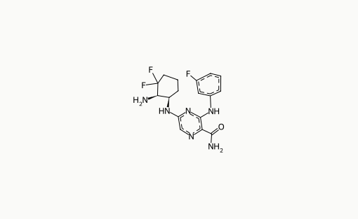 NC(=O)c1ncc(N[C@@H]2CCCC(F)(F)[C@@H]2N)nc1Nc1cccc(F)c1